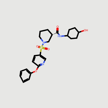 O=C(NC1CCC(O)CC1)[C@H]1CCCN(S(=O)(=O)c2ccc(Oc3ccccc3)nc2)C1